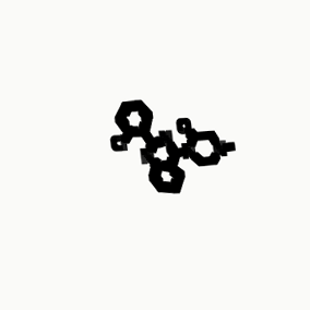 CN1CCN(c2nc(-c3ccccc3Cl)nc3ccccc23)C(=O)C1